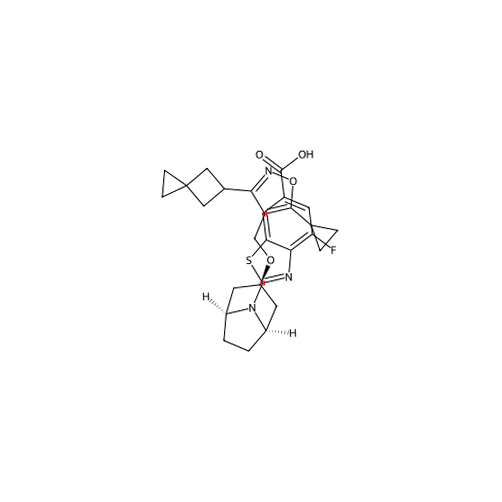 O=C(O)c1cc(F)c2nc(N3[C@@H]4CC[C@H]3C[C@@H](OCc3c(C5CC6(CC6)C5)noc3C3CC3)C4)sc2c1